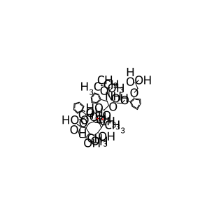 CC(O)O[C@@]12COC1CC(O)C1(C)C(O)C(O)C3C(C)[C@@H](OC(O)[C@H](OC(O)COc4ccccc4OCC(O)O)[C@@H](NC(O)OC(C)(C)C)c4ccccc4)CC(O)([C@@H](OC(O)c4ccccc4)[C@@H]12)C3(C)C